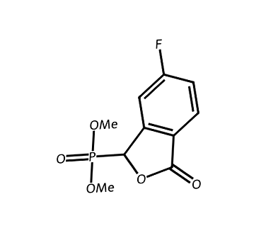 COP(=O)(OC)C1OC(=O)c2ccc(F)cc21